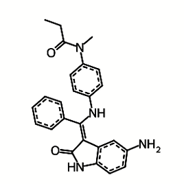 CCC(=O)N(C)c1ccc(NC(=C2C(=O)Nc3ccc(N)cc32)c2ccccc2)cc1